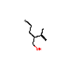 C=C(C)C(CO)CCC(C)C